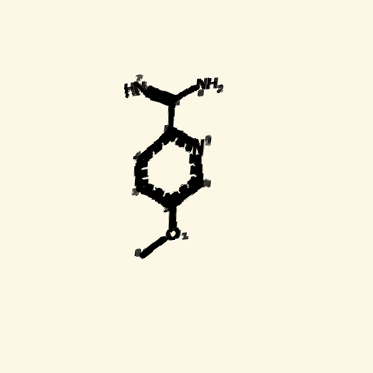 COc1ccc(C(=N)N)nc1